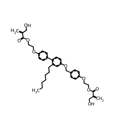 C=C(CO)C(=O)OCCOc1ccc(COc2ccc(-c3ccc(OCCOC(=O)C(=C)CO)cc3)c(CCCCCCC)c2)cc1